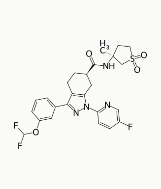 C[C@]1(NC(=O)[C@@H]2CCc3c(-c4cccc(OC(F)F)c4)nn(-c4ccc(F)cn4)c3C2)CCS(=O)(=O)C1